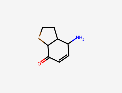 NC1C=CC(=O)C2SCCC12